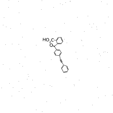 O=C(O)c1ccccc1C(=O)c1ccc(C#Cc2ccccc2)cc1